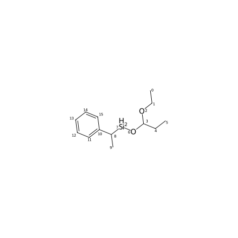 CCOC(CC)O[SiH2]C(C)c1ccccc1